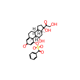 C[C@@]12C(=CC(=O)C=C1OS(=O)(=O)C(=O)c1ccccc1)CC[C@@H]1[C@@H]2[C@@H](O)C[C@@]2(C)[C@H]1CC[C@]2(O)C(=O)CO